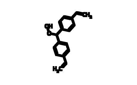 C=Cc1ccc(C(OO)c2ccc(C=C)cc2)cc1